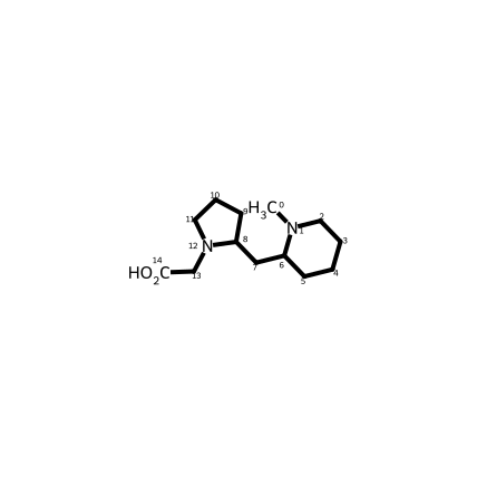 CN1CCCCC1CC1CCCN1CC(=O)O